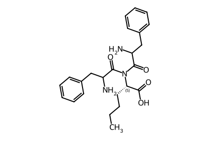 CCCC[C@@H](C(=O)O)N(C(=O)C(N)Cc1ccccc1)C(=O)C(N)Cc1ccccc1